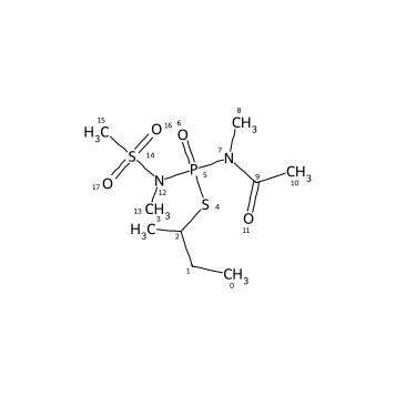 CCC(C)SP(=O)(N(C)C(C)=O)N(C)S(C)(=O)=O